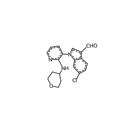 O=Cc1cn(-c2cccnc2NC2CCOCC2)c2cc(Cl)ccc12